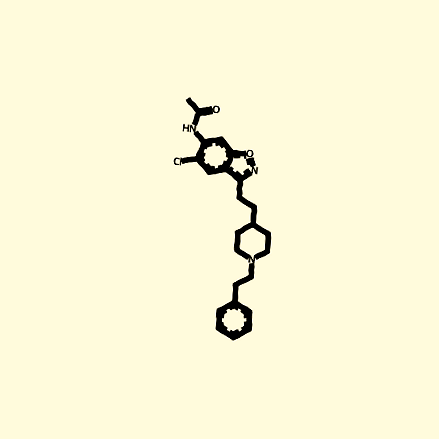 CC(=O)Nc1cc2onc(CCC3CCN(CCc4ccccc4)CC3)c2cc1Cl